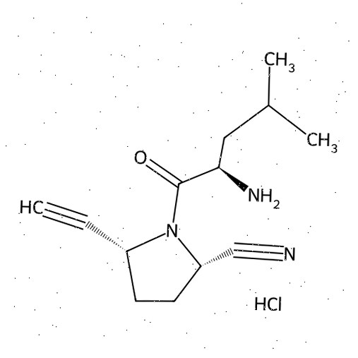 C#C[C@H]1CC[C@@H](C#N)N1C(=O)[C@H](N)CC(C)C.Cl